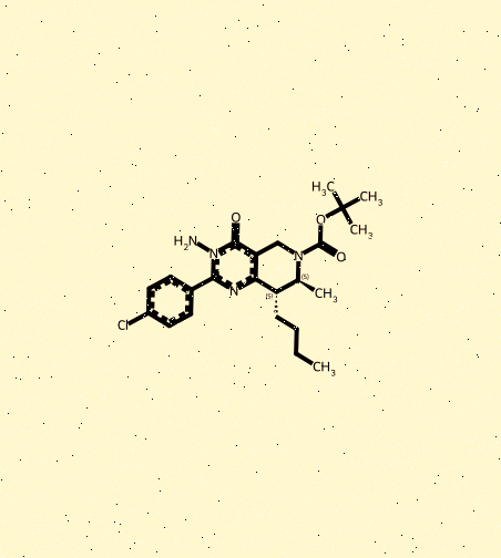 CCCC[C@@H]1c2nc(-c3ccc(Cl)cc3)n(N)c(=O)c2CN(C(=O)OC(C)(C)C)[C@H]1C